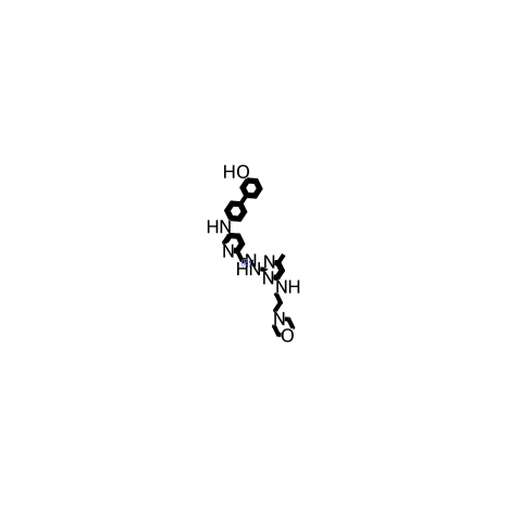 Cc1cc(NCCCN2CCOCC2)nc(N/N=C/c2ccc(Nc3ccc(-c4cccc(O)c4)cc3)cn2)n1